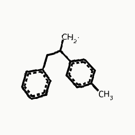 [CH2]C(Cc1ccccc1)c1ccc(C)cc1